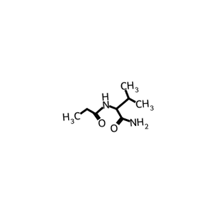 CCC(=O)NC(C(N)=O)C(C)C